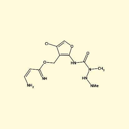 CNNN(C)C(=O)Nc1occ(Cl)c1COC(=N)/C=C\N